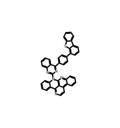 c1ccc2c(c1)-c1nccc3c1c(nc1ccccc13)N2c1nc(-c2ccc(-c3cccc4c3sc3ccccc34)cc2)c2ccccc2n1